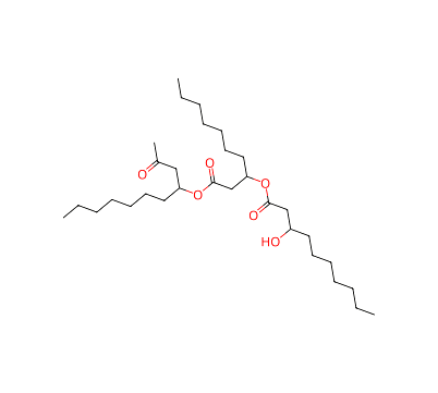 CCCCCCCC(O)CC(=O)OC(CCCCCCC)CC(=O)OC(CCCCCCC)CC(C)=O